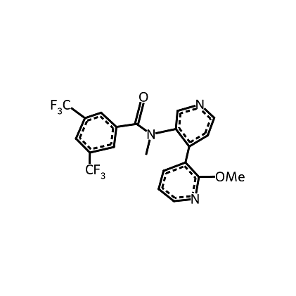 COc1ncccc1-c1ccncc1N(C)C(=O)c1cc(C(F)(F)F)cc(C(F)(F)F)c1